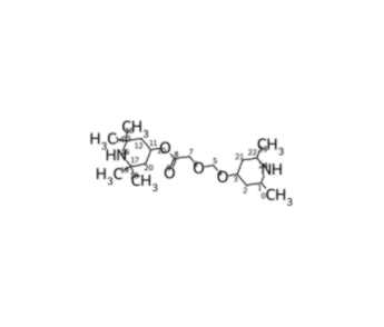 CC1CC(OCOCC(=O)OC2CC(C)(C)NC(C)(C)C2)CC(C)N1